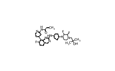 C=CC(=O)Nc1cc(-c2c(F)ccc3cnc(Nc4ccc(N5CCN(CC(C)(C)O)C(F)C5F)cc4)nc23)ccn1